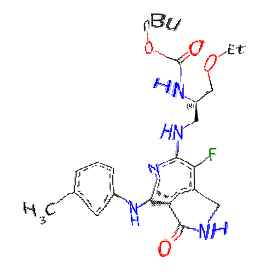 CCCCOC(=O)N[C@H](CNc1nc(Nc2cccc(C)c2)c2c(c1F)CNC2=O)COCC